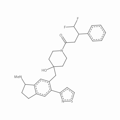 CNC1CCc2cc(-c3ccsn3)c(CC3(O)CCN(C(=O)CC(c4ccccc4)C(F)F)CC3)cc21